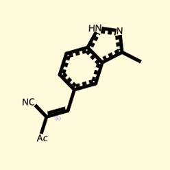 CC(=O)/C(C#N)=C/c1ccc2[nH]nc(C)c2c1